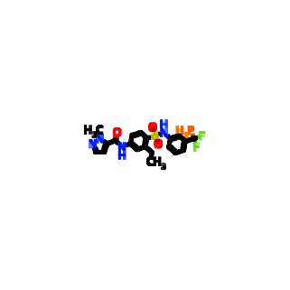 CCc1cc(NC(=O)c2ccnn2C)ccc1S(=O)(=O)Nc1cccc(C(F)(F)P)c1